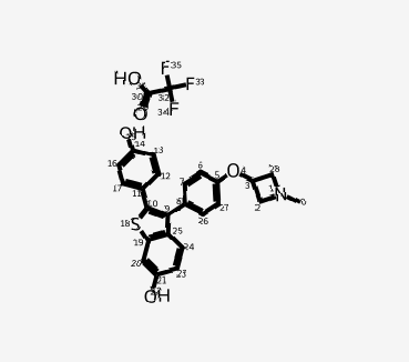 CN1CC(Oc2ccc(-c3c(-c4ccc(O)cc4)sc4cc(O)ccc34)cc2)C1.O=C(O)C(F)(F)F